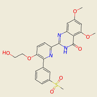 COc1cc(OC)c2c(=O)[nH]c(-c3ccc(OCCO)c(-c4cccc(S(C)(=O)=O)c4)n3)nc2c1